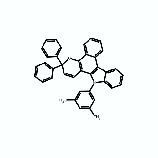 Cc1cc(C)cc(-n2c3ccccc3c3c4ccccc4c4c(c32)C=CC(c2ccccc2)(c2ccccc2)O4)c1